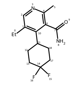 CCc1cnc(C)c(C(N)=O)c1C1CCC(F)(F)CC1